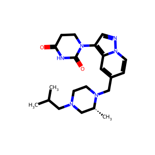 CC(C)CN1CCN(Cc2ccn3ncc(N4CCC(=O)NC4=O)c3c2)[C@H](C)C1